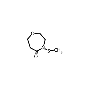 CSN1CCOCCC1=O